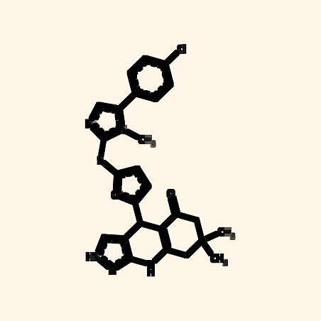 Cn1c(-c2ccc(Cl)cc2)cnc1Sc1ccc(C2C3=C(CC(C)(C)CC3=O)Nc3n[nH]cc32)o1